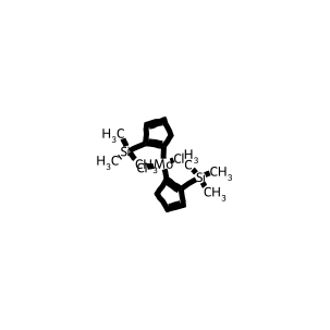 C[Si](C)(C)C1=[C]([Mo]([Cl])([Cl])[C]2=C([Si](C)(C)C)C=CC2)CC=C1